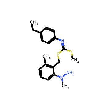 CCc1ccc(/N=C(/SC)SCc2c(C)cccc2N(C)N)cc1